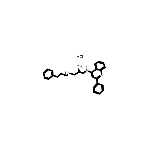 Cl.OC(CNCCCc1ccccc1)CNc1cc(-c2ccccc2)nc2ccccc12